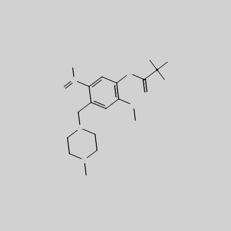 COc1cc(CN2CCN(C)CC2)c([N+](=O)[O-])cc1NC(=O)C(F)(F)F